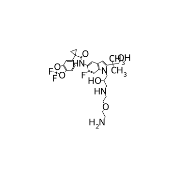 CC(C)(CO)c1cc2cc(NC(=O)C3(c4ccc5c(c4)OC(F)(F)O5)CC3)c(F)cc2n1CC(O)CNCCOCCN